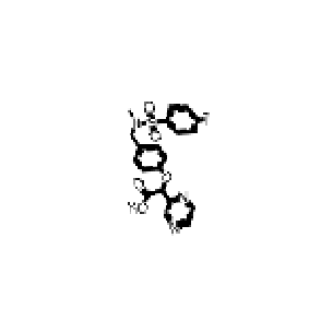 CN(Cc1ccc(OC(C(=O)O)c2cnccn2)cc1)S(=O)(=O)c1ccc(F)cc1